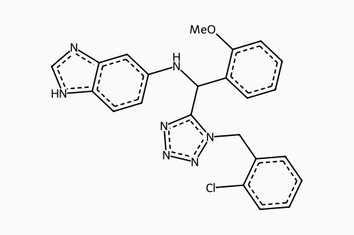 COc1ccccc1C(Nc1ccc2[nH]cnc2c1)c1nnnn1Cc1ccccc1Cl